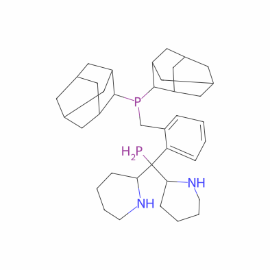 PC(c1ccccc1CP(C1C2CC3CC(C2)CC1C3)C1C2CC3CC(C2)CC1C3)(C1CCCCN1)C1CCCCN1